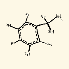 [2H]c1c([2H])c(C([2H])([2H])N)c([2H])c([2H])c1F